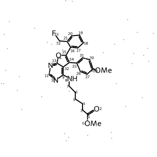 COC(=O)CCCCCNc1ncnc2oc(-c3ccccc3CF)c(-c3ccc(OC)cc3)c12